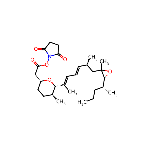 CCC[C@@H](C)[C@H]1OC1(C)C[C@H](C)/C=C/C=C(\C)[C@H]1O[C@@H](CC(=O)ON2C(=O)CCC2=O)CC[C@@H]1C